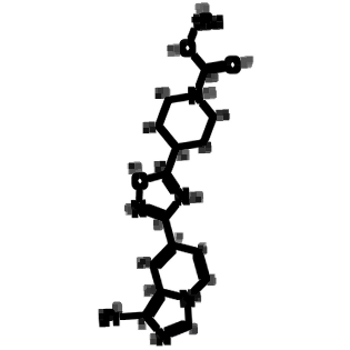 CC(C)c1ncn2ccc(-c3noc(C4CCN(C(=O)OC(C)(C)C)CC4)n3)cc12